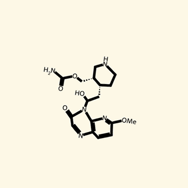 COc1ccc2ncc(=O)n(C(O)C[C@H]3CCNC[C@H]3COC(N)=O)c2n1